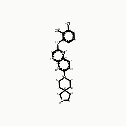 Clc1cccc(Sc2cnc3nc(N4CCC5(CCOC5)CC4)ccc3n2)c1Cl